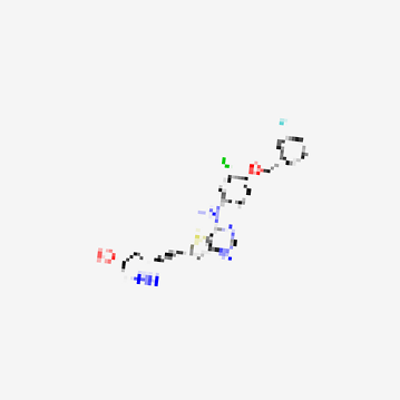 O[C@@H]1CN[C@H](C#Cc2cc3ncnc(Nc4ccc(OCc5cccc(F)c5)c(Cl)c4)c3s2)C1